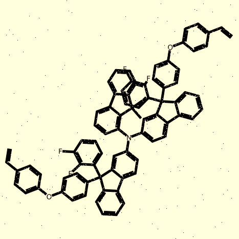 C=Cc1ccc(Oc2ccc(C3(c4cccc(F)c4F)c4ccccc4-c4ccc(N(c5ccc6c(c5)C(c5ccc(Oc7ccc(C=C)cc7)cc5)(c5cccc(F)c5F)c5ccccc5-6)c5cccc6c5C(C)(C)c5ccccc5-6)cc43)cc2)cc1